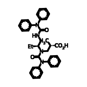 CC[C@@H](CNC(=O)N(c1ccccc1)c1ccccc1)N(C[C@H](C)C(=O)O)C(=O)N(c1ccccc1)c1ccccc1